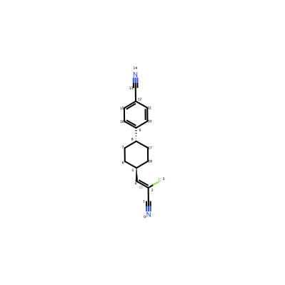 N#C/C(F)=C/[C@H]1CC[C@H](c2ccc(C#N)cc2)CC1